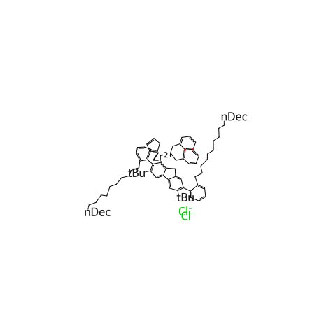 CCCCCCCCCCCCCCCCCCCCc1ccccc1-c1cc2c(cc1C(C)(C)C)-c1cc(C(C)(C)C)c(-c3ccccc3CCCCCCCCCCCCCCCCCCCC)[c]([Zr+2]([C]3=CC=CC3)=[C](Cc3ccccc3)Cc3ccccc3)c1C2.[Cl-].[Cl-]